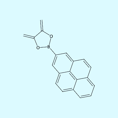 C=C1OB(c2cc3ccc4cccc5ccc(c2)c3c45)OC1=C